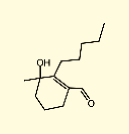 CCCCCC1=C(C=O)CCCC1(C)O